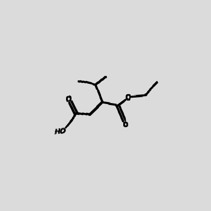 CCOC(=O)C(CC(=O)O)C(C)C